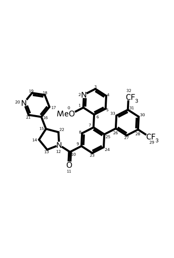 COc1ncccc1-c1cc(C(=O)N2CCC(c3cccnc3)C2)ccc1-c1cc(C(F)(F)F)cc(C(F)(F)F)c1